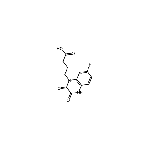 O=C(O)CCCn1c(=O)c(=O)[nH]c2ccc(F)cc21